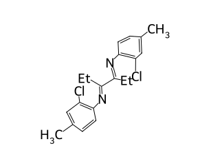 CCC(=Nc1ccc(C)cc1Cl)C(CC)=Nc1ccc(C)cc1Cl